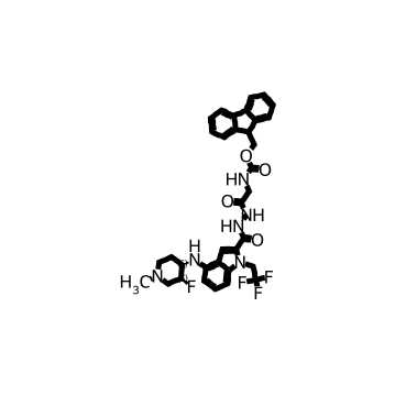 CN1CC[C@H](Nc2cccc3c2cc(C(=O)NNC(=O)CNC(=O)OCC2c4ccccc4-c4ccccc42)n3CC(F)(F)F)[C@@H](F)C1